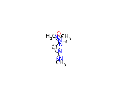 CC1C(=O)N(C)Cc2c(-c3cccc4cc(-c5cnn(C)c5)ncc34)nc(C3CC3)n21